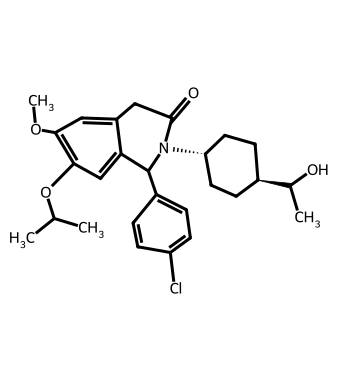 COc1cc2c(cc1OC(C)C)C(c1ccc(Cl)cc1)N([C@H]1CC[C@H](C(C)O)CC1)C(=O)C2